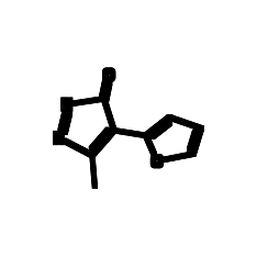 CC1=C(c2ccco2)C(=O)N=N1